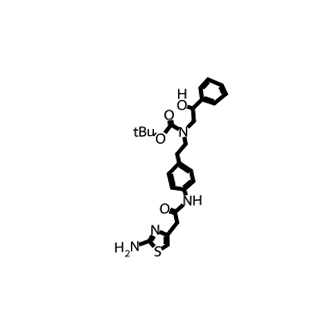 CC(C)(C)OC(=O)N(CCc1ccc(NC(=O)Cc2csc(N)n2)cc1)CC(O)c1ccccc1